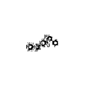 O=C1N2[C@@H](CC[C@H]2c2ccccc2)OC12CCN(c1ccn(-c3ccncc3)n1)CC2